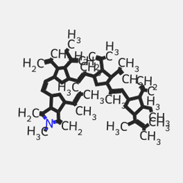 C=C(C)C1C(/C=C(\C)C2CC(/C(C)=C/C3CC(/C=C\C4CC(C(C)=C(C)C)C5C(=C)N(C)C(=C)C45)C(C(=C)C)C3C(=C)CC)C(C(=C)C)C2C(=C)C)CC(C(C)=C(C)C)C1CC